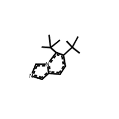 CC(C)(C)c1ccc2cncn2c1C(C)(C)C